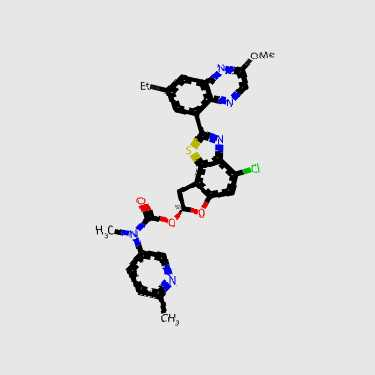 CCc1cc(-c2nc3c(Cl)cc4c(c3s2)C[C@H](OC(=O)N(C)c2ccc(C)nc2)O4)c2ncc(OC)nc2c1